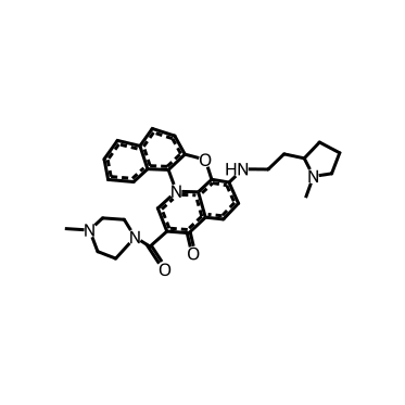 CN1CCN(C(=O)c2cn3c4c(c(NCCC5CCCN5C)ccc4c2=O)Oc2ccc4ccccc4c2-3)CC1